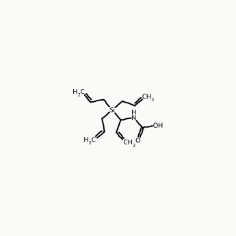 C=CC[Si](CC=C)(CC=C)C(C=C)NC(=O)O